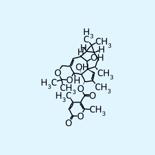 CC1=C[C@]23C(O)[C@@H](C=C4COC(C)(C)O[C@H]4[C@]2(O)[C@H]1OC(=O)c1c(C)cc(=O)oc1C)[C@H]1[C@@H](C[C@H]3C)C1(C)C